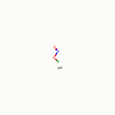 O=NOF.[LiH]